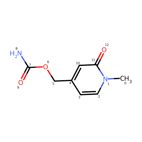 Cn1ccc(COC(N)=O)cc1=O